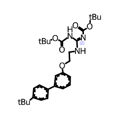 CC(C)(C)OC(=O)/N=C(/NCCOc1cccc(-c2ccc(C(C)(C)C)cc2)c1)NC(=O)OC(C)(C)C